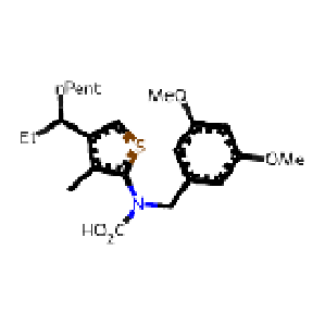 CCCCCC(CC)c1csc(N(Cc2cc(OC)cc(OC)c2)C(=O)O)c1C